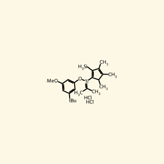 COc1cc([O][Ti]([C]2=C([SiH3])C(C)=C(C)C2C)=[C](C)C)cc(C(C)(C)C)c1.Cl.Cl